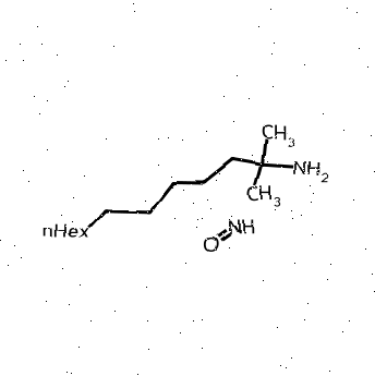 CCCCCCCCCCCC(C)(C)N.N=O